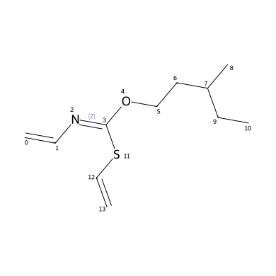 C=C/N=C(/OCCC(C)CC)SC=C